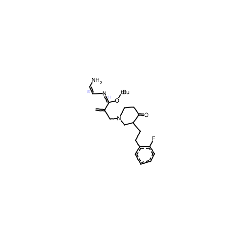 C=C(CN1CCC(=O)C(CCc2ccccc2F)C1)/C(=N\C=C/N)OC(C)(C)C